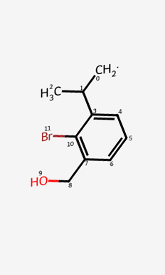 [CH2]C(C)c1cccc(CO)c1Br